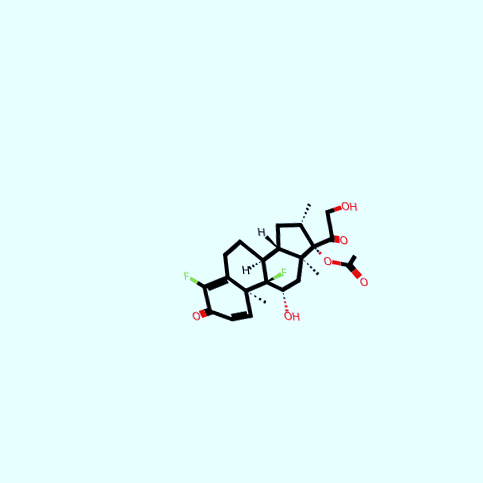 CC(=O)O[C@@]1(C(=O)CO)[C@@H](C)C[C@H]2[C@@H]3CCC4=C(F)C(=O)C=C[C@]4(C)[C@@]3(F)[C@@H](O)C[C@@]21C